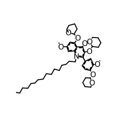 CCCCCCCCCCCCCCCCn1c(-c2ccc(OC3CCCCO3)c(OC)c2)c(OC2CCCCO2)c(=O)c2c(OC3CCCCO3)cc(OC)cc21